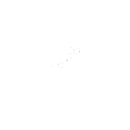 CC1CC2CC(C1)CC(CN(C)Cc1ccc(/C=C/C(=O)Nc3ccccc3N)cc1)C2